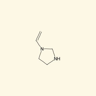 C=CN1CCNC1